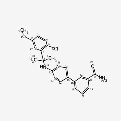 COc1ccc(Cl)c(C(C)(C)Nc2ncc(-c3cccc(C(N)=O)c3)cn2)n1